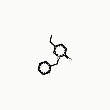 CCc1ccc(=O)n(Cc2ccccc2)c1